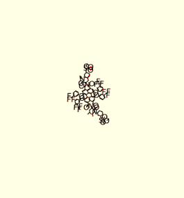 CCN(C(=O)C(CC(C)C)N1C(=O)c2cc(Oc3cccc(C(F)(F)F)c3)c3c4c(Oc5cccc(C(F)(F)F)c5)cc5c6c(cc(Oc7cccc(C(F)(F)F)c7)c(c7c(Oc8cccc(C(F)(F)F)c8)cc(c2c37)C1=O)c64)C(=O)N(C(CC(C)C)C(=O)N(CC)C1CCCC(C[Si](OC)(OC)OC)C1)C5=O)C1CCCC(C[Si](OC)(OC)OC)C1